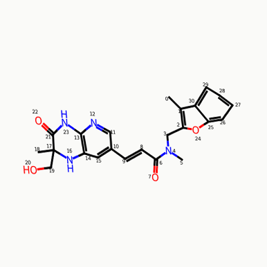 Cc1c(CN(C)C(=O)/C=C/c2cnc3c(c2)NC(C)(CO)C(=O)N3)oc2ccccc12